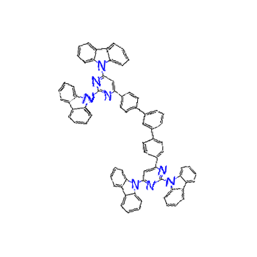 c1cc(-c2ccc(-c3cc(-n4c5ccccc5c5ccccc54)nc(-n4c5ccccc5c5ccccc54)n3)cc2)cc(-c2ccc(-c3cc(-n4c5ccccc5c5ccccc54)nc(-n4c5ccccc5c5ccccc54)n3)cc2)c1